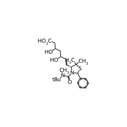 CN(C(=O)N1C(c2ccccc2)SC(C)(C)[C@@H]1/C=C/[C@@H](O)C[C@@H](O)CC(=O)O)C(C)(C)C